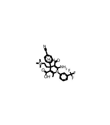 CC1=C(C(=O)O)C(CC[Si](C)(C)C)(c2ccc(C#N)cc2)C(C(N)=O)=C(N)N1c1cccc(C(F)(F)F)c1